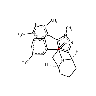 Cc1cccc(C(=O)N2[C@H]3CCC[C@@H]2c2nn(C)c(-c4cc(C(F)(F)F)nn4C)c2C3)c1